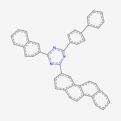 c1ccc(-c2ccc(-c3nc(-c4ccc5ccccc5c4)nc(-c4ccc5ccc6c7ccccc7ccc6c5c4)n3)cc2)cc1